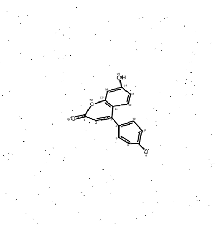 O=c1cc(-c2ccc(Cl)cc2)c2ccc(O)cc2o1